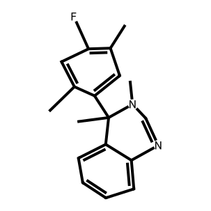 Cc1cc(C2(C)c3ccccc3N=CN2C)c(C)cc1F